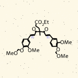 CCOC(=O)CCC(C)(C(=O)/C=C/c1ccc(OCOC)c(OC)c1)C(=O)/C=C/c1ccc(OCOC)c(OC)c1